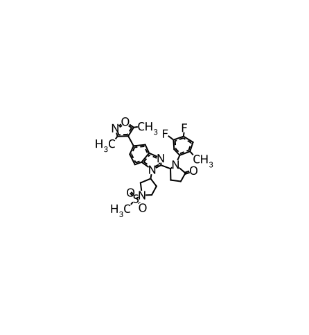 Cc1cc(F)c(F)cc1N1C(=O)CCC1c1nc2cc(-c3c(C)noc3C)ccc2n1C1CCN(S(C)(=O)=O)C1